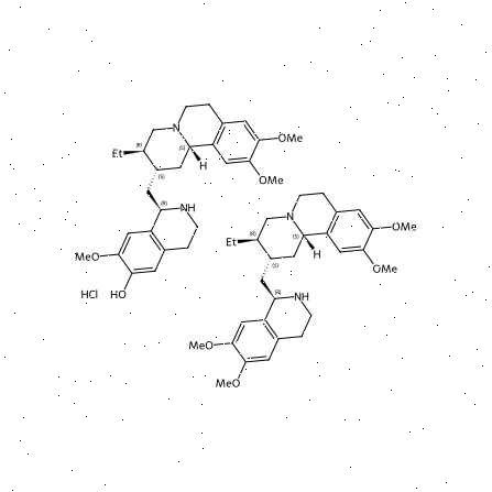 CC[C@H]1CN2CCc3cc(OC)c(OC)cc3[C@@H]2C[C@@H]1C[C@H]1NCCc2cc(O)c(OC)cc21.CC[C@H]1CN2CCc3cc(OC)c(OC)cc3[C@@H]2C[C@@H]1C[C@H]1NCCc2cc(OC)c(OC)cc21.Cl